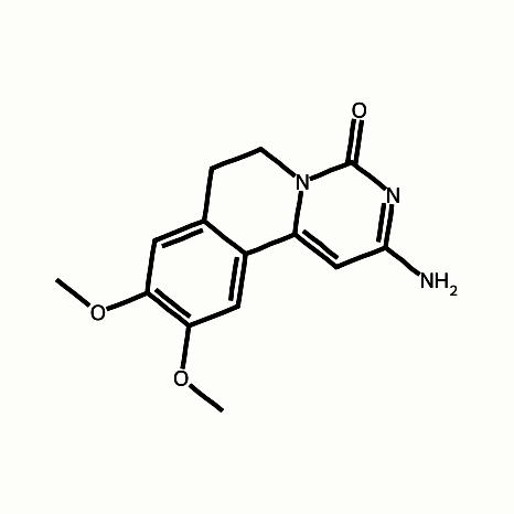 COc1cc2c(cc1OC)-c1cc(N)nc(=O)n1CC2